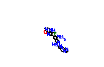 Cc1c(-c2cc3cc(Nc4cc5n(n4)Cc4nccn4CC5)ncc3c(N)c2F)cnc2c1NCCN(C)C2=O